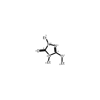 CCOc1nn(CC)c(=O)n1CC